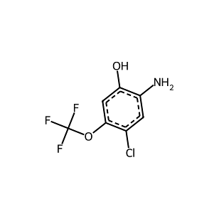 Nc1cc(Cl)c(OC(F)(F)F)cc1O